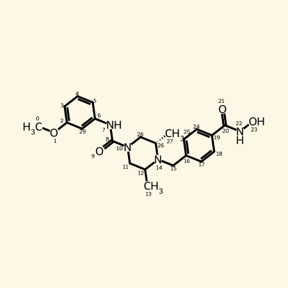 COc1cccc(NC(=O)N2CC(C)N(Cc3ccc(C(=O)NO)cc3)[C@@H](C)C2)c1